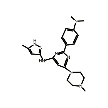 Cc1cc(Nc2cc(N3CCN(C)CC3)nc(-c3ccc(N(C)C)cc3)n2)n[nH]1